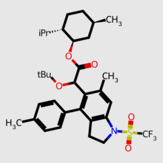 Cc1ccc(-c2c3c(cc(C)c2C(OC(C)(C)C)C(=O)O[C@@H]2C[C@H](C)CC[C@H]2C(C)C)N(S(=O)(=O)C(F)(F)F)CC3)cc1